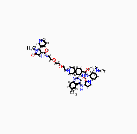 CC(C)N(C)[C@@H]1CC[C@H](N2CC[C@H](Nc3ncnc4ccc(C(F)(F)F)cc34)C2=O)[C@H](NC(=O)C2CCC3(CC2)CCN(CCOCCOCCNC(=O)[C@H]2CC(=O)N(C)[C@@H]2c2cccnc2)CC3)C1